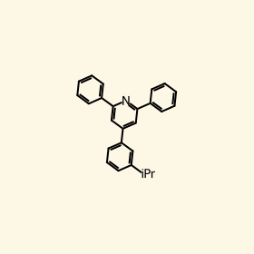 CC(C)c1cccc(-c2cc(-c3ccccc3)nc(-c3ccccc3)c2)c1